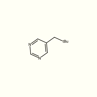 CC(C)(C)Cc1cncnc1